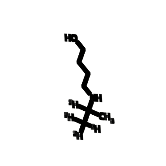 [2H]C([2H])([2H])C([2H])(C)NCCCCO